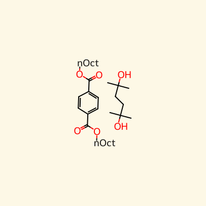 CC(C)(O)CCC(C)(C)O.CCCCCCCCOC(=O)c1ccc(C(=O)OCCCCCCCC)cc1